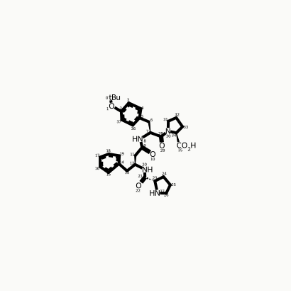 CC(C)(C)Oc1ccc(C[C@H](NC(=O)C[C@H](Cc2ccccc2)NC(=O)[C@@H]2CCCN2)C(=O)N2CCC[C@H]2C(=O)O)cc1